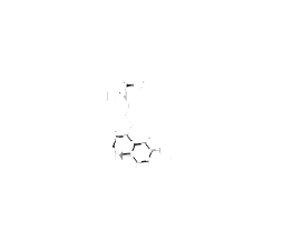 COc1ccc2nccc(CCCNC(C)=O)c2c1